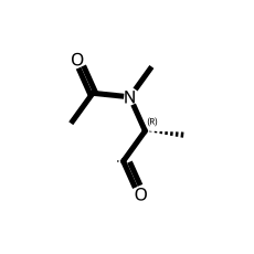 CC(=O)N(C)[C@H](C)[C]=O